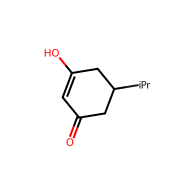 CC(C)C1CC(=O)C=C(O)C1